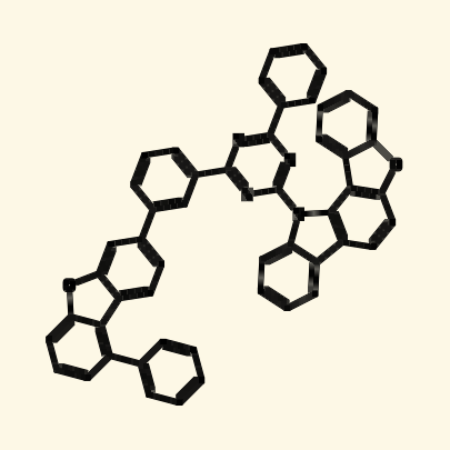 c1ccc(-c2nc(-c3cccc(-c4ccc5c(c4)oc4cccc(-c6ccccc6)c45)c3)nc(-n3c4ccccc4c4ccc5oc6ccccc6c5c43)n2)cc1